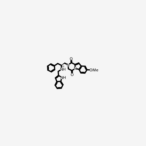 COc1ccc2c(c1)cc1n2C(=O)CN(C[C@H](Cc2ccccc2)NCc2cc3ccccc3[nH]2)C1=O